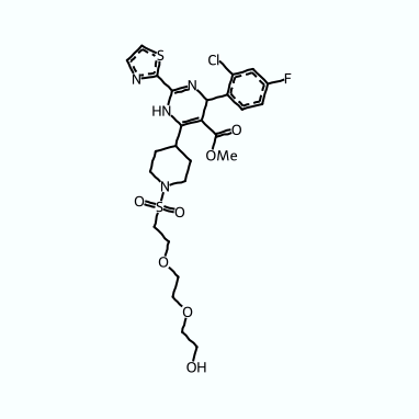 COC(=O)C1=C(C2CCN(S(=O)(=O)CCOCCOCCO)CC2)NC(c2nccs2)=NC1c1ccc(F)cc1Cl